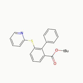 CC(C)(C)OC(=O)c1cccc(Sc2ccccn2)c1-c1ccccc1